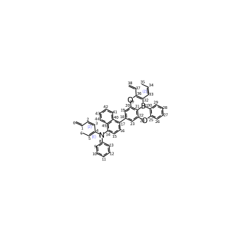 C=C/C=C\C(=C/C)N(c1ccccc1)c1ccc(-c2cc3c4c(c2)Oc2ccccc2B4C(/C=C\C)=C(C=C)O3)c2ccccc12